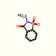 O=C1c2ccccc2S(=O)(=O)N1S(=O)(=O)O